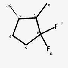 CC1[C@@H](C)CCC1(F)F